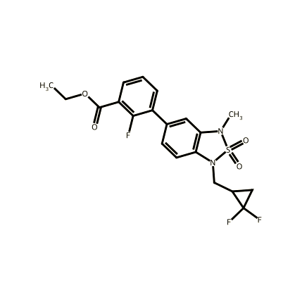 CCOC(=O)c1cccc(-c2ccc3c(c2)N(C)S(=O)(=O)N3CC2CC2(F)F)c1F